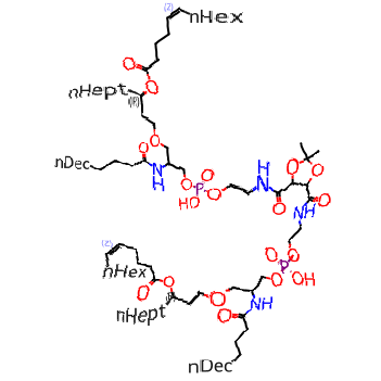 CCCCCC/C=C\CCCC(=O)O[C@H](CCCCCCC)CCOCC(COP(=O)(O)OCCNC(=O)C1OC(C)(C)OC1C(=O)NCCOP(=O)(O)OCC(COCC[C@@H](CCCCCCC)OC(=O)CCC/C=C\CCCCCC)NC(=O)CCCCCCCCCCCCC)NC(=O)CCCCCCCCCCCCC